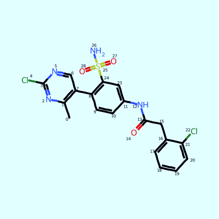 Cc1nc(Cl)ncc1-c1ccc(NC(=O)Cc2ccccc2Cl)cc1S(N)(=O)=O